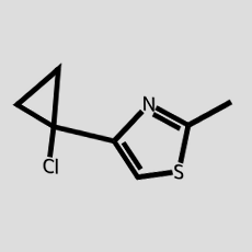 Cc1nc(C2(Cl)CC2)cs1